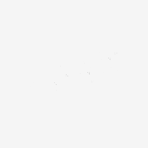 CCN1C(=O)/C(=c2\s/c(=C/c3nc4c(cc(-c5ccccc5)n4C)s3)c(=O)n2CC)SC1=S